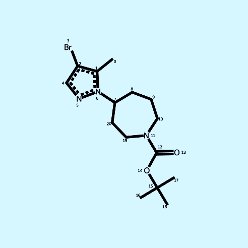 Cc1c(Br)cnn1C1CCCN(C(=O)OC(C)(C)C)CC1